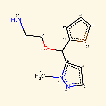 Cn1nccc1C(OCCN)c1cccs1